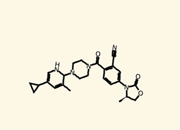 CC1=CC(C2CC2)=CNC1N1CCN(C(=O)c2ccc(N3C(=O)OC[C@H]3C)cc2C#N)CC1